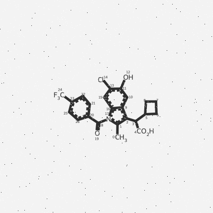 Cc1c(C(C(=O)O)C2CCC2)c2cc(O)c(Cl)cc2n1C(=O)c1ccc(C(F)(F)F)cc1